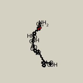 CN(CCCC(=O)NCC(=O)Nc1ccc(CC[N+]23CC[N+](CC(N)=O)(CC2)CC3)cc1)S(=O)(=O)c1ccc2c(c1)C(C)(C)C(/C=C/C=C/C=C/C=C1/N(CCCS(=O)(=O)O)c3ccccc3C1(C)C)=[N+]2C